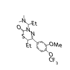 CCC1SC(=O)N(C(CC)N(C)C)N=C1c1ccc(OC(F)(F)F)c(OC)c1